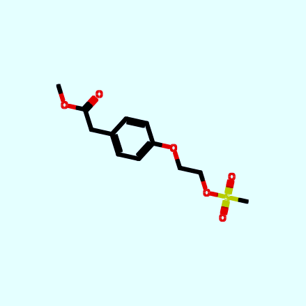 COC(=O)Cc1ccc(OCCOS(C)(=O)=O)cc1